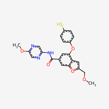 COCc1cc2c(Oc3ccc(S)cc3)cc(C(=O)Nc3cnc(OC)cn3)cc2o1